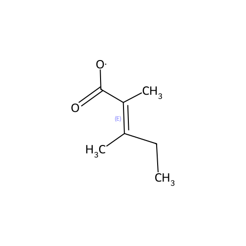 CC/C(C)=C(\C)C([O])=O